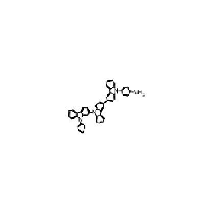 [SiH3]c1ccc(-n2c3ccccc3c3cc(-c4ccc5c(c4)c4ccccc4n5-c4ccc5c6ccccc6n(-c6ccccc6)c5c4)ccc32)cc1